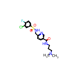 CN(C)CCCNC(=O)c1ccc(CNS(=O)(=O)c2ccc(F)c(Cl)c2)nc1